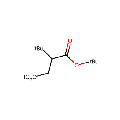 CC(C)(C)OC(=O)C(CC(=O)O)C(C)(C)C